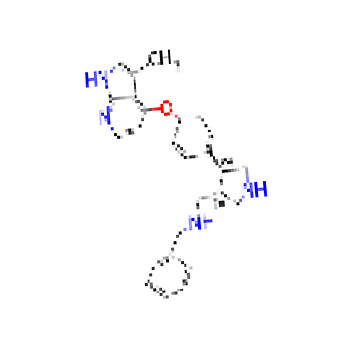 Cc1c[nH]c2nccc(Oc3ccc([C@H]4CNC[C@@H]4CNCc4ccccc4)cc3)c12